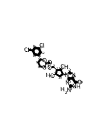 C=C1[C@H](CO[P@]2(=O)OCC[C@H](c3cc(Cl)cc(Cl)c3)O2)[C@@H](O)C[C@@H]1n1cnc2c(=O)[nH]c(N)nc21